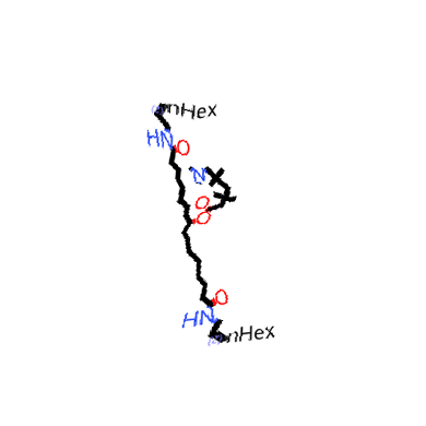 CCCCCC/C=C\CNC(=O)CCCCCCCC(CCCCCCCC(=O)NC/C=C\CCCCCC)OC(=O)CC(C)(C)CC(C)(C)CN(C)C